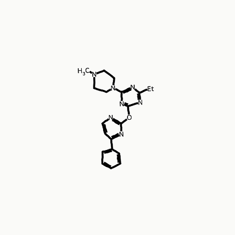 CCc1nc(Oc2nccc(-c3ccccc3)n2)nc(N2CCN(C)CC2)n1